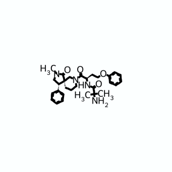 CN1C[C@@H](c2ccccc2)[C@@]2(CCCN(C(=O)[C@@H](CCOc3ccccc3)NC(=O)C(C)(C)N)C2)C1=O